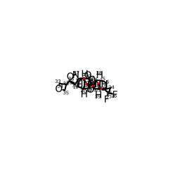 O=C(NC1C[C@H]2CC[C@@H](C1)N2S(=O)(=O)N1[C@@H]2CC[C@H]1CC(NCC1CC1(F)F)C2)c1cc(C2COC2)on1